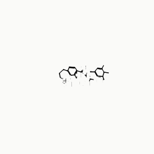 CCCC(N(NC(=O)c1ccc2c(c1C)OB(O)CCC2)C(=O)C1=CC(C)C(C)C(C)=C1)C(C)(C)C